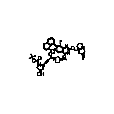 CN(c1nc(OC[C@@]23CCCN2C[C@H](F)C3)nc2c(F)c(-c3cccc4cccc(Cl)c34)ncc12)[C@@H]1CCN(C(=O)C#C[C@H]2C[C@@H](O)CN2C(=O)OC(C)(C)C)C1